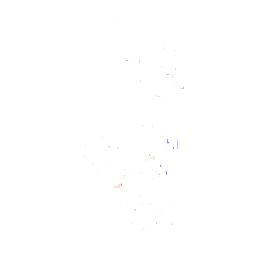 O=C(Cc1ccc(S(=O)(=O)CC2CC2)cc1)Nc1nc(-c2ccccc2)c(C(=O)c2ccccc2)s1